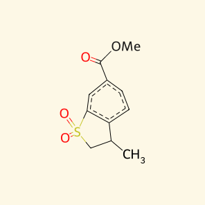 COC(=O)c1ccc2c(c1)S(=O)(=O)CC2C